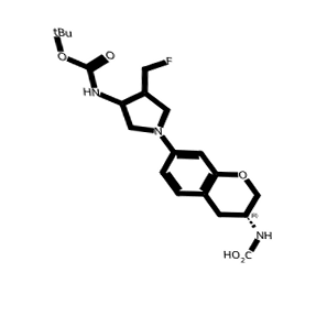 CC(C)(C)OC(=O)NC1CN(c2ccc3c(c2)OC[C@H](NC(=O)O)C3)CC1CF